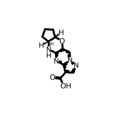 O=C(O)c1cnn2cc3c(nc12)N[C@@H]1CCC[C@@H]1O3